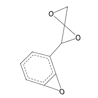 c1cc2c(c(C3OC34CO4)c1)O2